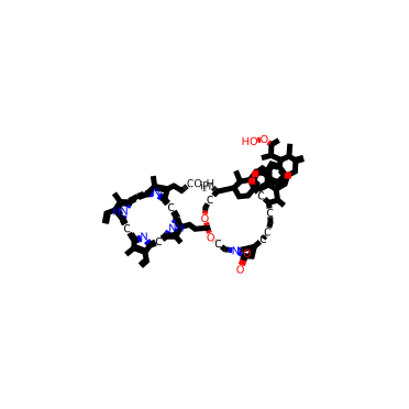 C=CC1=C(C)c2cc3[nH]c(cc4nc(cc5[nH]c(cc1n2)c(C)c5CCC1OCCC(C(C)C)C2CCC(CC(C(C)C(CCCC(=C)C(C)C(C)C(C)C(C)OO)c5ccccc5)CCCCC5=CC(=O)N(CCO1)C5=O)C(Cc1ccccc1)C2C)C(CCC(=O)O)=C4C)c(C)c3C=C